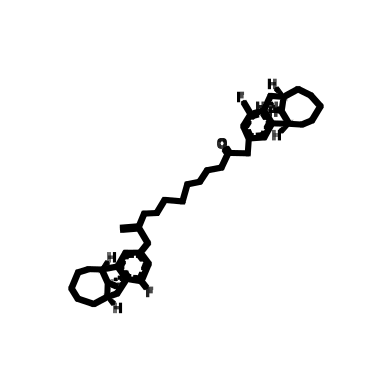 C=C(CCCCCCCCC(=O)Cc1cc(F)c2c(c1)[C@H]1CCCCC[C@@H](C2)[C@@H]1N)Cc1cc(F)c2c(c1)[C@H]1CCCCC[C@@H](C2)[C@@H]1F